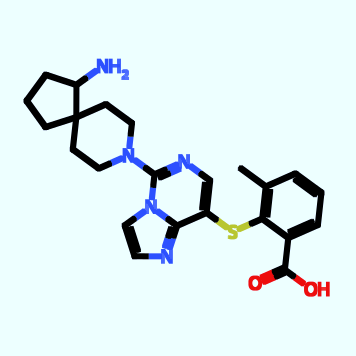 Cc1cccc(C(=O)O)c1Sc1cnc(N2CCC3(CCCC3N)CC2)n2ccnc12